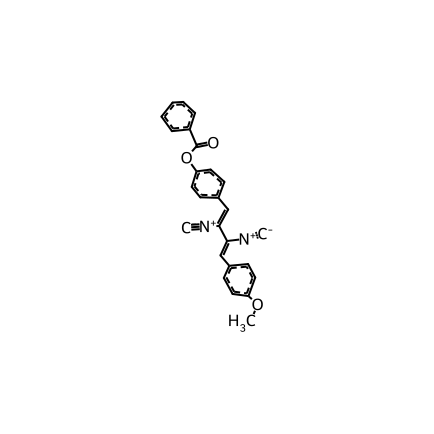 [C-]#[N+]C(=Cc1ccc(OC)cc1)C(=Cc1ccc(OC(=O)c2ccccc2)cc1)[N+]#[C-]